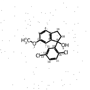 COc1ccc2c(c1)C(O)(c1cc(Cl)ccc1Cl)CC2